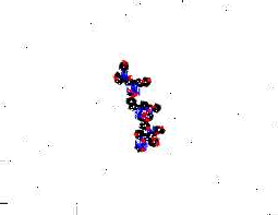 c1ccc(-n2c3ccccc3c3cc4c(cc32)c2cc3ccccc3cc2n4-c2ncc(-c3ccc4ccc5c(c4c3)c3ccc4c6ccccc6n(-c6ccc(-c7cccc(-n8c9ccccc9c9c%10ccccc%10c%10c(c%11ccccc%11n%10-c%10ncccn%10)c98)c7)cc6)c4c3n5-c3ncccn3)cn2)cc1